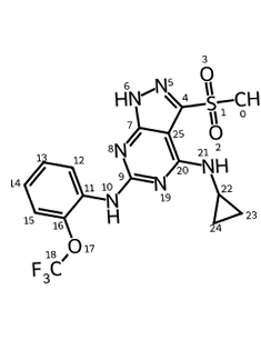 CS(=O)(=O)c1n[nH]c2nc(Nc3ccccc3OC(F)(F)F)nc(NC3CC3)c12